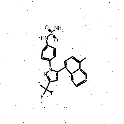 Cc1ccc(-c2cc(C(F)(F)F)nn2-c2ccc(NS(N)(=O)=O)cc2)c2ccccc12